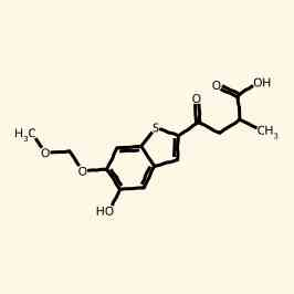 COCOc1cc2sc(C(=O)CC(C)C(=O)O)cc2cc1O